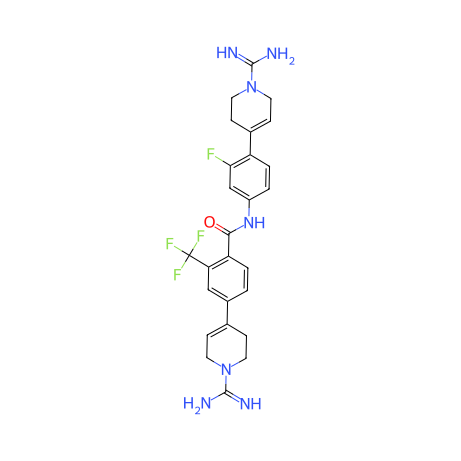 N=C(N)N1CC=C(c2ccc(C(=O)Nc3ccc(C4=CCN(C(=N)N)CC4)c(F)c3)c(C(F)(F)F)c2)CC1